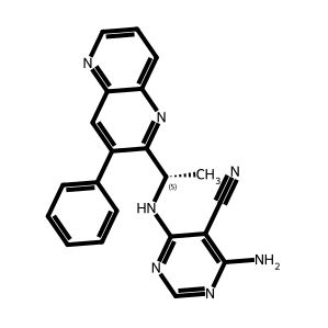 C[C@H](Nc1ncnc(N)c1C#N)c1nc2cccnc2cc1-c1ccccc1